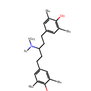 CCCCCCCCN(C(C)=O)C(CCc1cc(C(C)(C)C)c(O)c(C(C)(C)C)c1)CCc1cc(C(C)(C)C)c(O)c(C(C)(C)C)c1